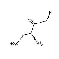 N[C@@H](CC(=O)O)C(=O)CF